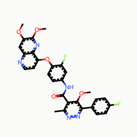 COc1cc2nccc(Oc3ccc(NC(=O)c4c(C)nnc(-c5ccc(F)cc5)c4OC)cc3F)c2nc1OC